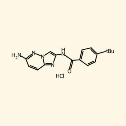 CC(C)(C)c1ccc(C(=O)Nc2cn3nc(N)ccc3n2)cc1.Cl